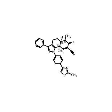 Cc1nc(-c2ccc(-n3nc(-c4cccnc4)c4c3[C@]3(C)C=C(C#N)C(=O)[C@H](C)[C@H]3CC4)cc2)no1